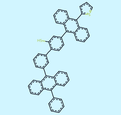 Sc1cc(-c2c3ccccc3c(-c3cccs3)c3ccccc23)ccc1-c1cccc(-c2c3ccccc3c(-c3ccccc3)c3ccccc23)c1